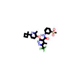 Cc1nc(C2(C)CCC2)ccc1Oc1nnc(C(F)(F)F)c(C)c1C(=O)Nc1cccc(S(C)(=O)=O)c1